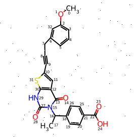 COc1cccc(CC#Cc2cc3c(=O)n(C(C)c4ccc(C(=O)O)cc4)c(=O)[nH]c3s2)c1